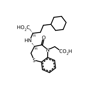 O=C(O)CN1C(=O)[C@@H](N[C@@H](CCC2CCCCC2)C(=O)O)CSc2ccccc21